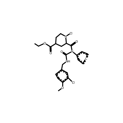 CCOC(=O)C1CCN(Cl)C(C(=O)N(C(=O)NCc2ccc(OC)c(Cl)c2)c2ccccc2)C1